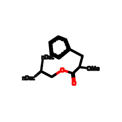 CCCCCCCCCCC(CCCCCCCCCC)COC(=O)C(Cc1ccccc1)OC